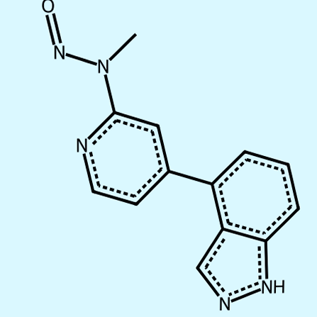 CN(N=O)c1cc(-c2cccc3[nH]ncc23)ccn1